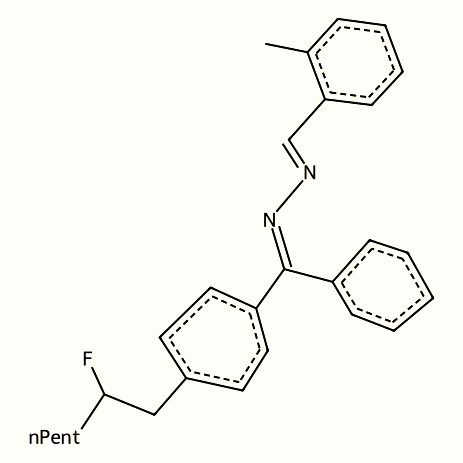 CCCCCC(F)Cc1ccc(C(=NN=Cc2ccccc2C)c2ccccc2)cc1